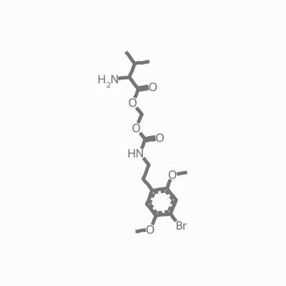 COc1cc(CCNC(=O)OCOC(=O)C(N)C(C)C)c(OC)cc1Br